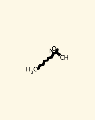 C#Cc1conc1CCCCCCCC